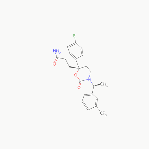 C[C@@H](c1cccc(C(F)(F)F)c1)N1CC[C@@](CCC(N)=O)(c2ccc(F)cc2)OC1=O